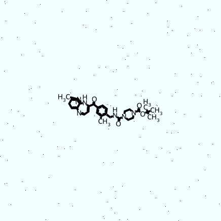 Cc1cc(C(=O)C2=CC=NC3=CCC=C4N(C)N=CC34N2)ccc1CNC(=O)N1CCN(C(=O)OC(C)(C)C)CC1